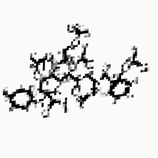 COC(=O)[C@]1(Sc2ccc(C)cc2)C[C@H](OC(C)=O)[C@@H](NC(=O)COC(C)=O)[C@H]([C@H](OC(C)=O)[C@@H](CNC(=O)c2ccccc2OC(C)=O)OC(C)=O)O1